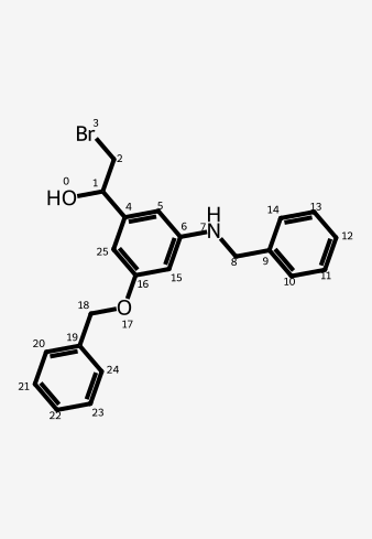 OC(CBr)c1cc(NCc2ccccc2)cc(OCc2ccccc2)c1